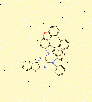 c1cc2c3c(c1)ccc1c3c3c4c(ccc3n1-c1nc3c(nc1-n1c5ccccc5c5ccccc51)oc1ccccc13)oc1cccc-2c14